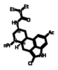 CCCN1C[C@@H](NC(=O)N(CC)CC)CC2c3cc(C(C)=O)cc4[nH]c(Cl)c(c34)C[C@H]21